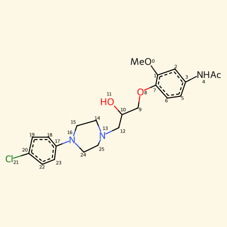 COc1cc(NC(C)=O)ccc1OCC(O)CN1CCN(c2ccc(Cl)cc2)CC1